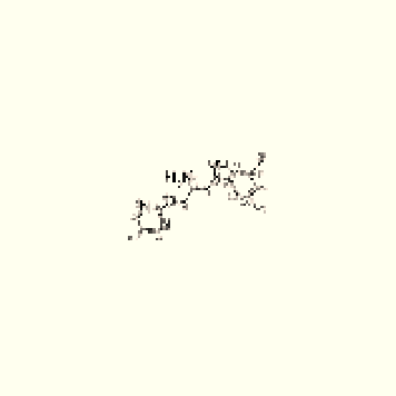 Cc1cnc(OC/C(N)=C/N(N)c2cc(C)cc(C)c2)nc1